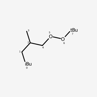 CCC(C)CC(C)COOC(C)(C)C